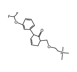 C[Si](C)(C)CCOCC1CC=CC(c2cccc(OC(F)F)c2)C1=O